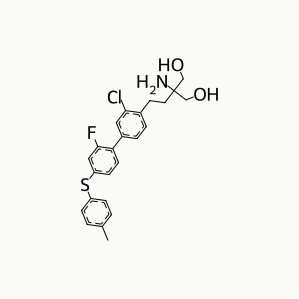 Cc1ccc(Sc2ccc(-c3ccc(CCC(N)(CO)CO)c(Cl)c3)c(F)c2)cc1